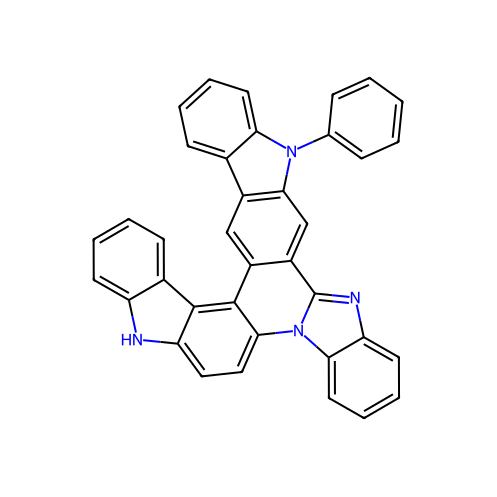 c1ccc(-n2c3ccccc3c3cc4c(cc32)c2nc3ccccc3n2c2ccc3[nH]c5ccccc5c3c42)cc1